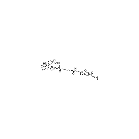 CN(C)C/C=C/C(=O)N1CCN(c2ccc(CCNC(=O)CCCCCCCC(=O)NCCn3ccc(-c4cc(Cl)c(Cl)c5[nH]c6c(c45)CN(C(=O)CO)CC6)n3)s2)C(=O)C1